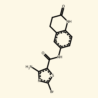 Nc1nc(Br)sc1C(=O)Nc1ccc2c(c1)CCC(=O)N2